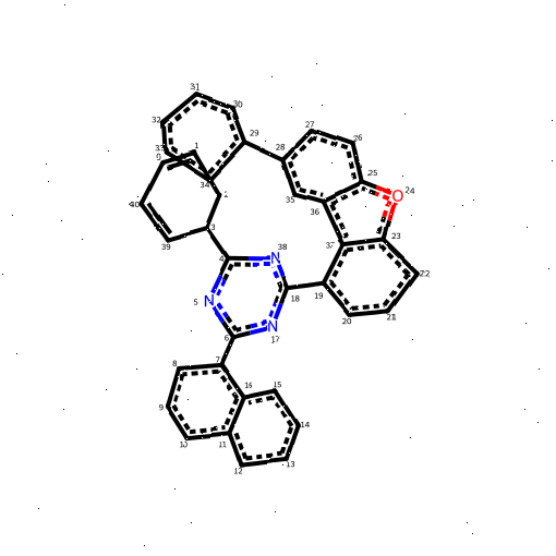 C1=CCC(c2nc(-c3cccc4ccccc34)nc(-c3cccc4oc5ccc(-c6ccccc6)cc5c34)n2)C=C1